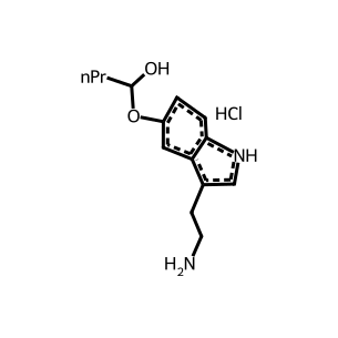 CCCC(O)Oc1ccc2[nH]cc(CCN)c2c1.Cl